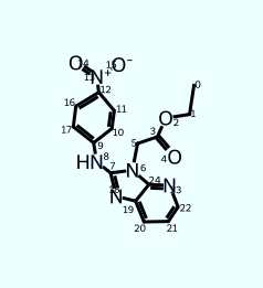 CCOC(=O)Cn1c(Nc2ccc([N+](=O)[O-])cc2)nc2cccnc21